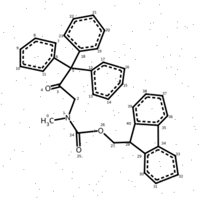 CN(CC(=O)C(c1ccccc1)(c1ccccc1)c1ccccc1)C(=O)OCC1c2ccccc2-c2ccccc21